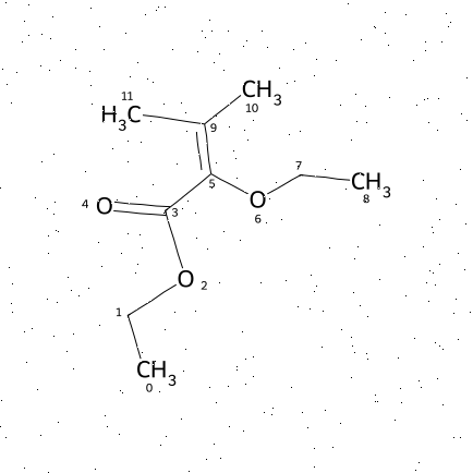 CCOC(=O)C(OCC)=C(C)C